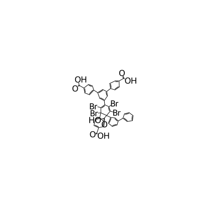 O=C(O)c1ccc(-c2cc(C3=C(Br)C(Br)(c4ccc(C(=O)O)cc4)C(C(=O)O)(c4cccc(-c5ccccc5)c4)C(Br)=C3Br)cc(-c3ccc(C(=O)O)cc3)c2)cc1